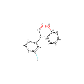 O=CC(c1cccc(F)c1)c1ccccc1O